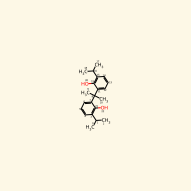 CC(C)c1cccc(C(C)(C)c2cccc(C(C)C)c2O)c1O